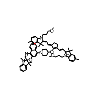 COCCCN1/C(=C/C=C2\CCC(/C=C/C3=[N+](CCCOC)c4ccc(C)cc4C3(C)C)=C2OC2CCN(c3cc4c(c5ccccc35)N=CC3(O4)N(C)c4ccccc4C3(C)C)CC2)C(C)(C)c2cc(C)ccc21